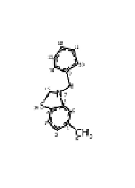 Cc1ccc2c(c1)N(Cc1ccccc1)CS2